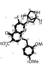 CCOC(=O)c1cn(Cc2ccc(OC)cc2OC)c2nc(N3C[C@@H]4C[C@H]3CN4)c(F)cc2c1=O